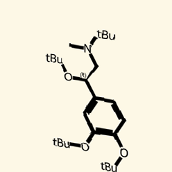 CN(C[C@H](OC(C)(C)C)c1ccc(OC(C)(C)C)c(OC(C)(C)C)c1)C(C)(C)C